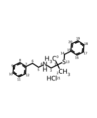 CC(C)(CNCCc1ccccc1)SCc1ccccc1.Cl